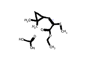 CCOC(=O)/C(=C\C1CC1(C)C)SC.O=C(O)O